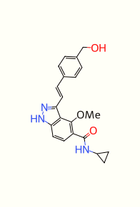 COc1c(C(=O)NC2CC2)ccc2[nH]nc(C=Cc3ccc(CO)cc3)c12